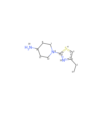 CCc1csc(N2CCC(N)CC2)n1